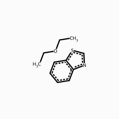 CCOCC.c1ccc2scnc2c1